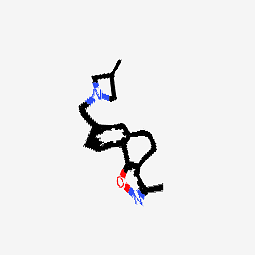 Cc1noc2c1CCc1cc(CN3CC(C)C3)ccc1-2